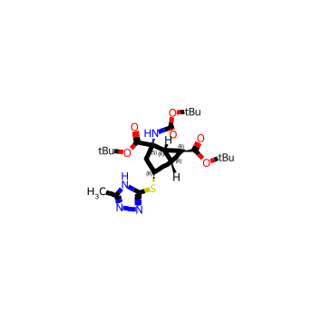 Cc1nnc(S[C@@H]2C[C@@](NC(=O)OC(C)(C)C)(C(=O)OC(C)(C)C)[C@@H]3[C@@H](C(=O)OC(C)(C)C)[C@@H]32)[nH]1